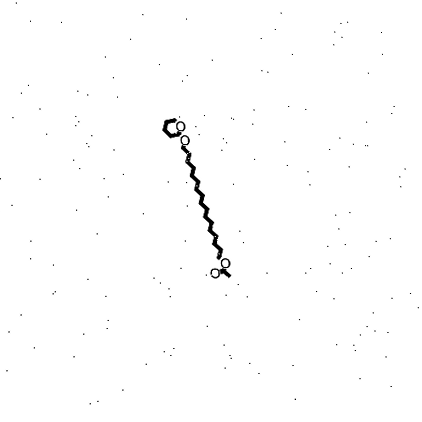 CC(=O)OCCCCCCCCCCCCCCCCCOC1CCCCO1